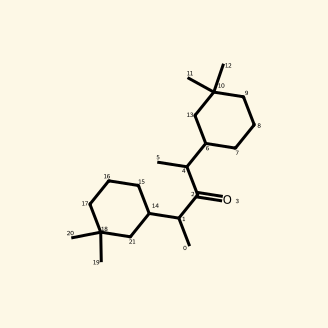 CC(C(=O)C(C)C1CCCC(C)(C)C1)C1CCCC(C)(C)C1